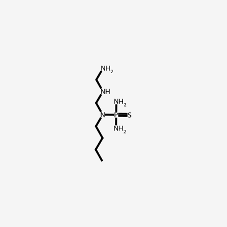 CCCCN(CNCN)P(N)(N)=S